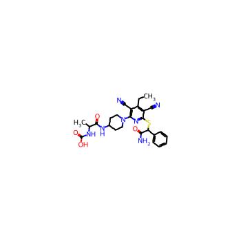 CCc1c(C#N)c(SC(C(N)=O)c2ccccc2)nc(N2CCC(NC(=O)C(C)NC(=O)O)CC2)c1C#N